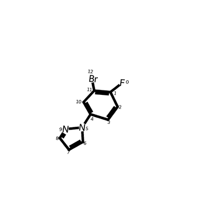 Fc1ccc(-n2cccn2)cc1Br